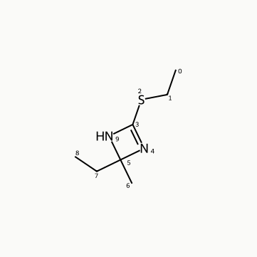 CCSC1=NC(C)(CC)N1